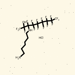 Cl.NCCCCCCNC(F)(C(O)(F)C(F)(F)F)C(F)(F)C(F)(F)C(F)(F)C(F)(F)C(F)(F)C(F)(F)F